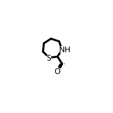 O=[C]C1NCCCCS1